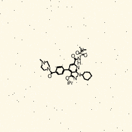 CC(C)Oc1nn(C2CCCCC2)c2nc(C(=O)NS(=O)(=O)N(C)C)cc(-c3ccc(C(=O)N4CCN(C)CC4)cc3)c12